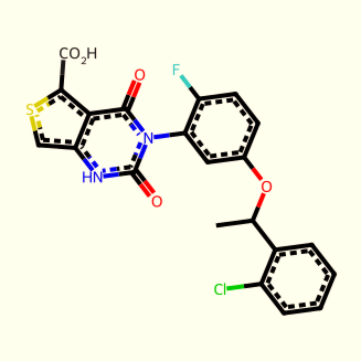 CC(Oc1ccc(F)c(-n2c(=O)[nH]c3csc(C(=O)O)c3c2=O)c1)c1ccccc1Cl